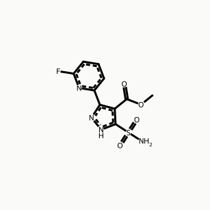 COC(=O)c1c(-c2cccc(F)n2)n[nH]c1S(N)(=O)=O